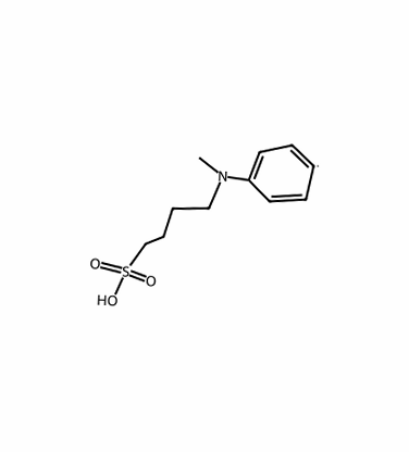 CN(CCCCS(=O)(=O)O)c1cc[c]cc1